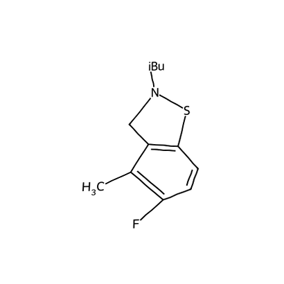 CCC(C)N1Cc2c(ccc(F)c2C)S1